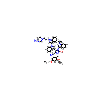 COc1ccc(Cn2c(C#N)c(-c3cn(-c4cn(CCCN5CCNCC5)c5ccccc45)c4ccccc34)n(-c3cn(C)c4ccccc34)c2=O)c(OC)c1